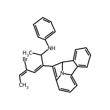 C/C=C(Br)\C=C(\C1=C2C=CC=C3c4ccccc4C1N32)C(C)Nc1ccccc1